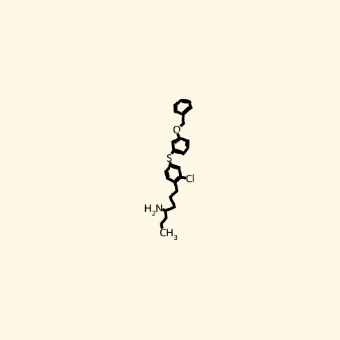 CCCC(N)CCCc1ccc(Sc2cccc(OCc3ccccc3)c2)cc1Cl